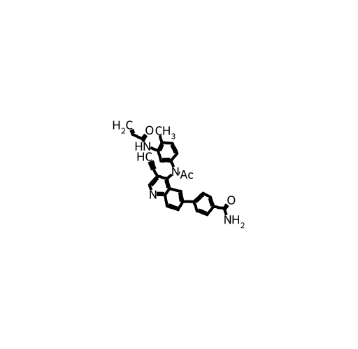 C#Cc1cnc2ccc(-c3ccc(C(N)=O)cc3)cc2c1N(C(C)=O)c1ccc(C)c(NC(=O)C=C)c1